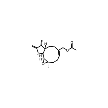 C=C1O[C@H]2[C@@H](CC/C(COC(C)=O)=C\CC[C@@]3(C)O[C@@H]23)C1=C